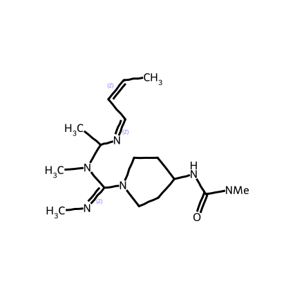 C/C=C\C=N/C(C)N(C)/C(=N\C)N1CCC(NC(=O)NC)CC1